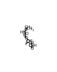 CC1(C)CC(NC(=O)OC2CN(c3cc(F)c(C4CCC(=O)NC4=O)c(F)c3)C2)C1